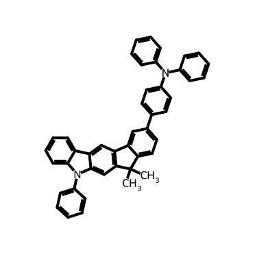 CC1(C)c2ccc(-c3ccc(N(c4ccccc4)c4ccccc4)cc3)cc2-c2cc3c4ccccc4n(-c4ccccc4)c3cc21